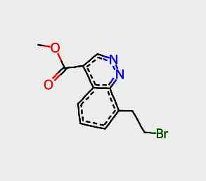 COC(=O)c1cnnc2c(CCBr)cccc12